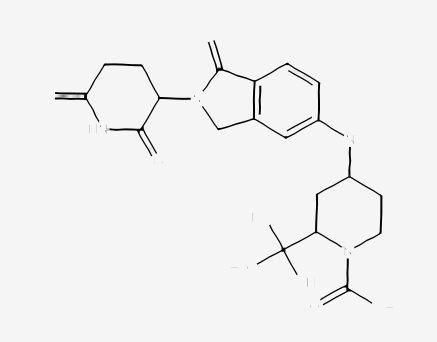 CC(C)(C)C1CC(Nc2ccc3c(c2)CN(C2CCC(=O)NC2=O)C3=O)CCN1C(=O)O